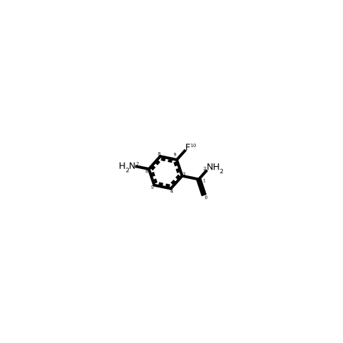 C=C(N)c1ccc(N)cc1F